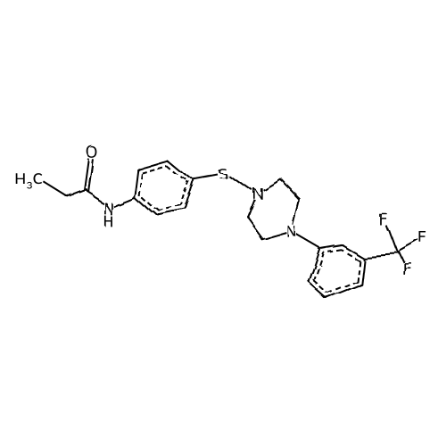 CCC(=O)Nc1ccc(SN2CCN(c3cccc(C(F)(F)F)c3)CC2)cc1